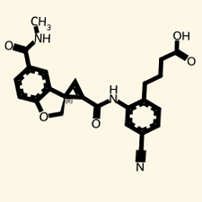 CNC(=O)c1ccc2c(c1)[C@@]1(C=C1C(=O)Nc1cc(C#N)ccc1CCCC(=O)O)CO2